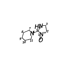 O=[N+]1CCNC1N1CCCCC1